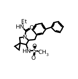 CCNC(=O)N1CC2(CC2)C(NS(C)(=O)=O)C1Cc1cccc(-c2ccccc2)c1